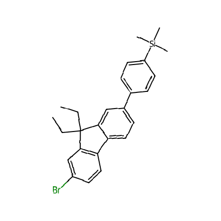 CCC1(CC)c2cc(Br)ccc2-c2ccc(-c3ccc([Si](C)(C)C)cc3)cc21